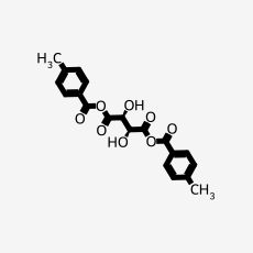 Cc1ccc(C(=O)OC(=O)[C@@H](O)[C@H](O)C(=O)OC(=O)c2ccc(C)cc2)cc1